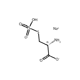 N[C@@H](CSS(=O)(=O)O)C(=O)[O-].[Na+]